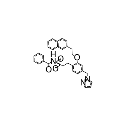 O=C(NS(=O)(=O)CCc1ccc(Cn2cccn2)cc1OCCc1ccc2ccccc2c1)c1ccccc1